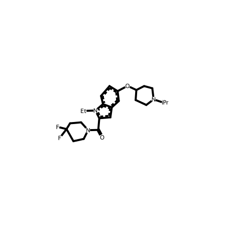 CCn1c(C(=O)N2CCC(F)(F)CC2)cc2cc(OC3CCN(C(C)C)CC3)ccc21